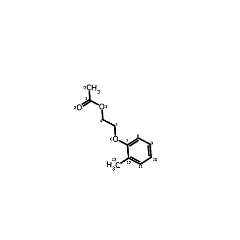 CC(=O)OCCOc1ccccc1C